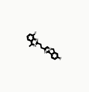 Cc1nc(CCc2cn3c(n2)-c2ccc(F)cc2C3)nc2c(F)cccc12